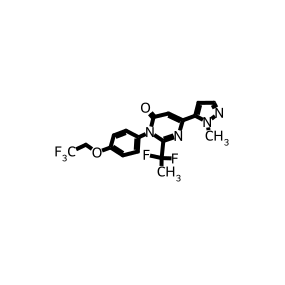 Cn1nccc1-c1cc(=O)n(-c2ccc(OCC(F)(F)F)cc2)c(C(C)(F)F)n1